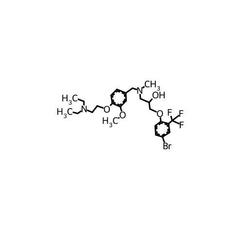 CCN(CC)CCOc1ccc(CN(C)CC(O)COc2ccc(Br)cc2C(F)(F)F)cc1OC